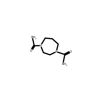 BC(=O)N1CCCN(C(B)=O)CC1